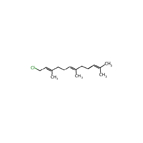 CC(C)=CCC/C(C)=C/CC/C(C)=C/CCl